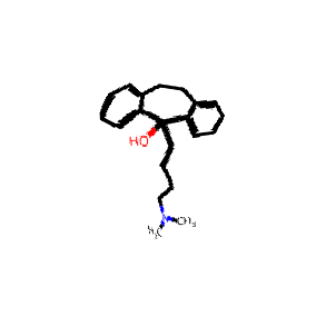 CN(C)CCCCC1(O)c2ccccc2CCc2ccccc21